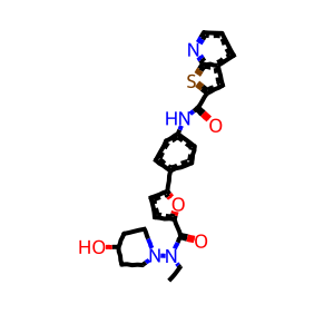 CCN(C(=O)c1ccc(-c2ccc(NC(=O)c3cc4cccnc4s3)cc2)o1)N1CCC(O)CC1